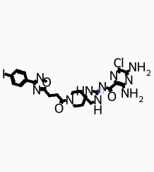 Nc1nc(N)c(C(=O)/N=C2\NCC3(CCN(C(=O)CCc4nc(-c5ccc(I)cc5)no4)CC3)N2)nc1Cl